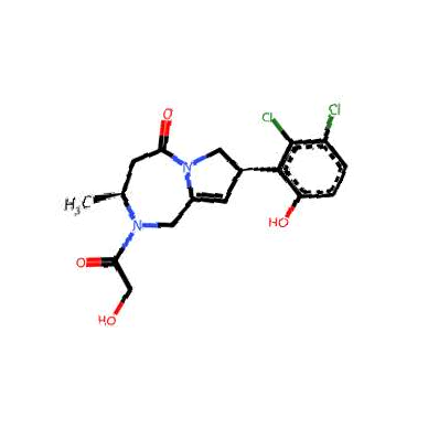 C[C@H]1CC(=O)N2C[C@@H](c3c(O)ccc(Cl)c3Cl)C=C2CN1C(=O)CO